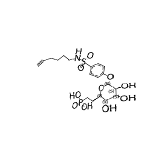 C#CCCCCNS(=O)(=O)c1ccc(O[C@H]2O[C@H](CCP(=O)(O)O)[C@@H](O)[C@H](O)[C@@H]2O)cc1